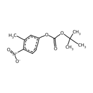 Cc1cc(OC(=O)OC(C)(C)C)ccc1[N+](=O)[O-]